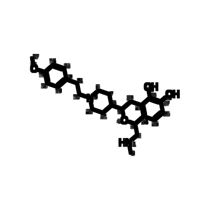 CNCC1OC(C2CCN(CCc3ccc(OC)cc3)CC2)Cc2c1ccc(O)c2O